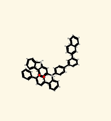 c1ccc(-c2ccc(-c3ccccc3N(c3ccc(-c4cccc(-c5ccc6ccccc6c5)c4)cc3)c3ccc4c(c3)sc3ccccc34)cc2)cc1